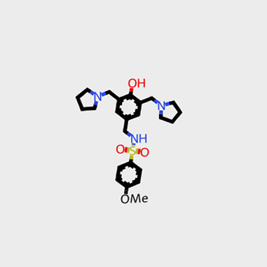 COc1ccc(S(=O)(=O)NCc2cc(CN3CCCC3)c(O)c(CN3CCCC3)c2)cc1